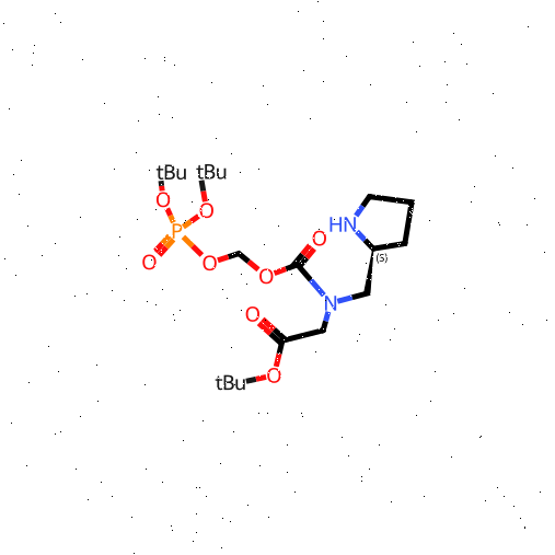 CC(C)(C)OC(=O)CN(C[C@@H]1CCCN1)C(=O)OCOP(=O)(OC(C)(C)C)OC(C)(C)C